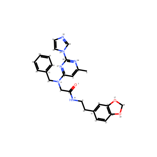 Cc1cc(N(CC(=O)NCCc2ccc3c(c2)OCO3)Cc2ccccc2)nc(-n2ccnc2)n1